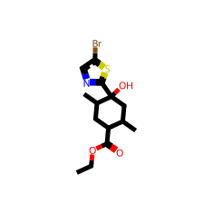 CCOC(=O)C1CC(C)C(O)(c2ncc(Br)s2)CC1C